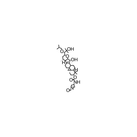 CC(C)CO[C@@H](C1C[C@@H](C)[C@H]2C(O1)[C@H](O)[C@@]1(C)C3CC[C@H]4C(C)(C)C(OC(=O)NC5CN(C=O)C5)CC[C@@]45C[C@@]35CC[C@]21C)C(C)(C)O